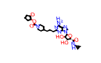 Nc1nc(CCCC2CCN(C(=O)OC3CCCC3=O)CC2)nc2c1ncn2[C@@H]1O[C@H](C(=O)NC2CC2)[C@H](O)C1O